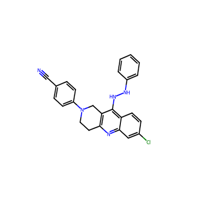 N#Cc1ccc(N2CCc3nc4cc(Cl)ccc4c(NNc4ccccc4)c3C2)cc1